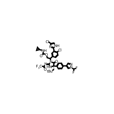 CC(C)(C)C[C@]1(c2ccc(-c3cnn(C(F)F)c3)cc2)NC(=NC(=O)C(F)(F)F)N(C(COC(=O)NC2CC2)c2ccc(Cl)c(-c3nc(Cl)c[nH]3)c2)C1=O